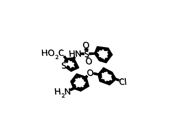 Nc1ccc(Oc2ccc(Cl)cc2)cc1.O=C(O)c1sccc1NS(=O)(=O)c1ccccc1